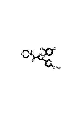 COc1ccc(C2CC(C(=S)NN3CCOCC3)=NN2c2ccc(Cl)cc2Cl)cc1